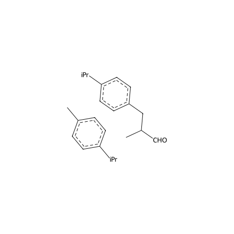 CC(C=O)Cc1ccc(C(C)C)cc1.Cc1ccc(C(C)C)cc1